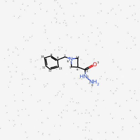 NNC(=O)C1CN(Cc2ccccc2)C1